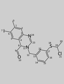 Cc1cc2c(cc1I)C(C=O)N(Cc1cccc(SC(C)Cl)c1)C=N2